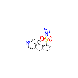 NS(=O)(=O)c1cccc(Cc2ccncc2)c1C(F)(F)F